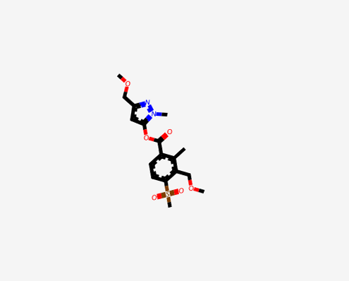 COCc1cc(OC(=O)c2ccc(S(C)(=O)=O)c(COC)c2C)n(C)n1